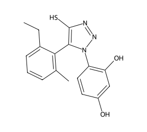 CCc1cccc(C)c1-c1c(S)nnn1-c1ccc(O)cc1O